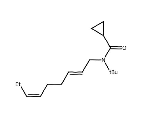 CC/C=C\CC/C=C/CN(C(=O)C1CC1)C(C)(C)C